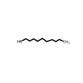 [BH]CCCCCCCCCC